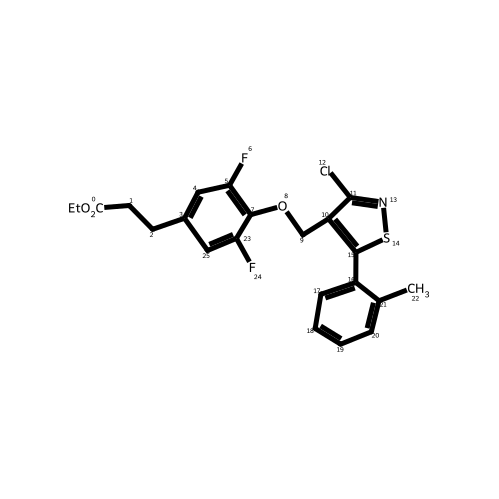 CCOC(=O)CCc1cc(F)c(OCc2c(Cl)nsc2-c2ccccc2C)c(F)c1